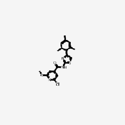 COc1cc(C(=O)Nc2nc(C3C(C)=CC(C)=CC3C)cs2)cc(Cl)n1